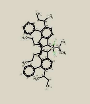 CCCCC1=Cc2c(ccc(C(C)CC)c2-c2ccccc2)[CH]1[Zr]([Cl])([Cl])([CH]1C(CCCC)=Cc2c1ccc(C(C)CC)c2-c1ccccc1)[SiH](C)C